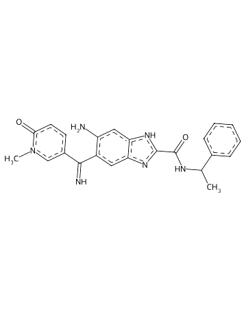 CC(NC(=O)c1nc2cc(C(=N)c3ccc(=O)n(C)c3)c(N)cc2[nH]1)c1ccccc1